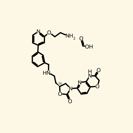 NCCOc1cc(-c2cccc(CNCC[C@H]3CN(c4ccc5c(n4)NC(=O)CO5)C(=O)O3)c2)ccn1.O=CO